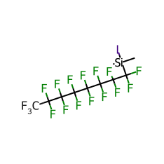 C[Si](C)(I)C(F)(F)C(F)(F)C(F)(F)C(F)(F)C(F)(F)C(F)(F)C(F)(F)C(F)(F)F